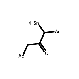 CC(=O)CC(=O)[CH]([SnH])C(C)=O